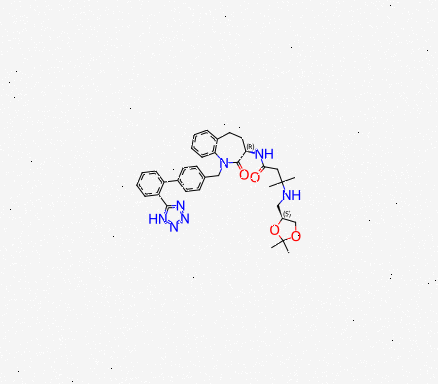 CC(C)(CC(=O)N[C@@H]1CCc2ccccc2N(Cc2ccc(-c3ccccc3-c3nnn[nH]3)cc2)C1=O)NC[C@H]1COC(C)(C)O1